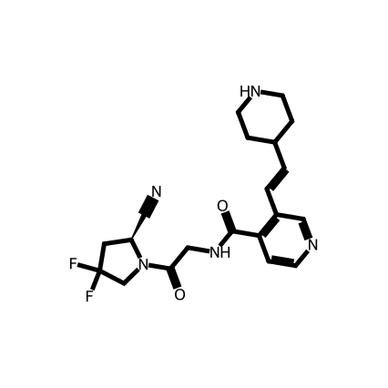 N#C[C@@H]1CC(F)(F)CN1C(=O)CNC(=O)c1ccncc1/C=C/C1CCNCC1